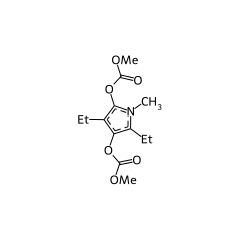 CCc1c(OC(=O)OC)c(CC)n(C)c1OC(=O)OC